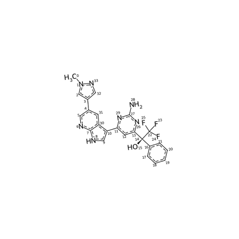 Cn1cc(-c2cnc3[nH]cc(-c4cc([C@@](O)(c5ccccc5)C(F)(F)F)nc(N)n4)c3c2)cn1